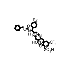 O=C(NC(c1cn2nc(CC3(C(=O)O)C[C@H](C(F)(F)F)CN(C(=O)O)C3=O)c(Cl)cc2n1)C1CCC(F)(F)CC1)OCc1ccccc1